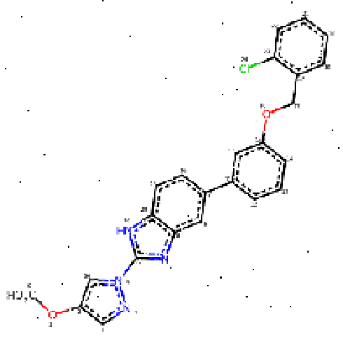 O=C(O)Oc1cnn(-c2nc3cc(-c4cccc(OCc5ccccc5Cl)c4)ccc3[nH]2)c1